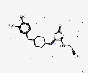 C#CCNC1=NC(=O)S/C1=C\C1CCN(Cc2ccc(N)c(C(F)(F)F)c2)CC1